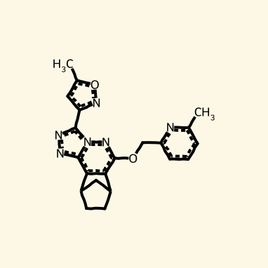 Cc1cccc(COc2nn3c(-c4cc(C)on4)nnc3c3c2C2CCC3C2)n1